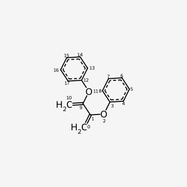 C=C(Oc1ccccc1)C(=C)Oc1ccccc1